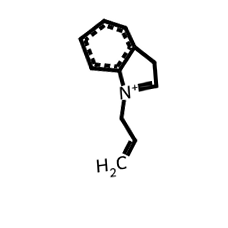 C=CC[N+]1=CCc2ccccc21